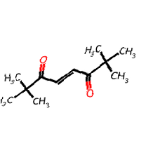 CC(C)(C)C(=O)C=CC(=O)C(C)(C)C